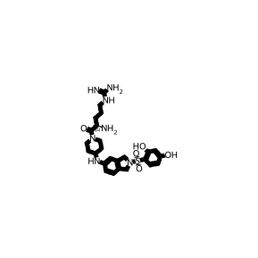 N=C(N)NCCC[C@H](N)C(=O)N1CCC(Nc2ccc3c(c2)CN(S(=O)(=O)c2ccc(O)cc2O)C3)CC1